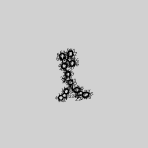 CC1(C)c2ccccc2-c2ccc(N(c3ccc4c(c3)C(C)(C)c3ccccc3-4)c3ccc4c(c3)C(C)(C)c3cc(-c5ccc6c(c5)C5(c7ccccc7-c7ccccc75)c5ccccc5-6)ccc3-4)cc21